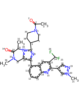 CC(=O)N1CCC(c2nc(-c3cccc4nc(-c5cnn(C)c5)c(C(F)F)cc34)c3n2C(C)C(=O)N(C)C3)CC1